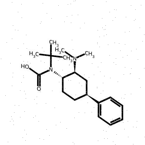 CN(C)[C@H]1C[C@@H](c2ccccc2)CC[C@@H]1N(C(=O)O)C(C)(C)C